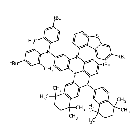 Cc1cc(C(C)(C)C)ccc1N(c1ccc2c(c1)N(c1cccc3sc4cc(C(C)(C)C)ccc4c13)c1cc(C(C)(C)C)cc3c1B2c1cc2c(cc1N3c1ccc3c(c1)C(C)(C)CCC3(C)C)C(C)(C)CCC2(C)C)c1ccc(C(C)(C)C)cc1C